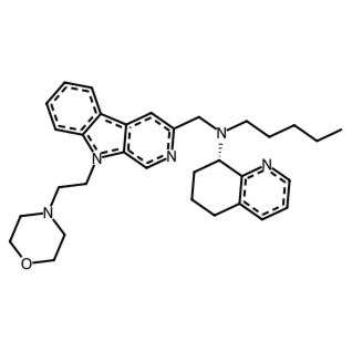 CCCCCN(Cc1cc2c3ccccc3n(CCN3CCOCC3)c2cn1)[C@H]1CCCc2cccnc21